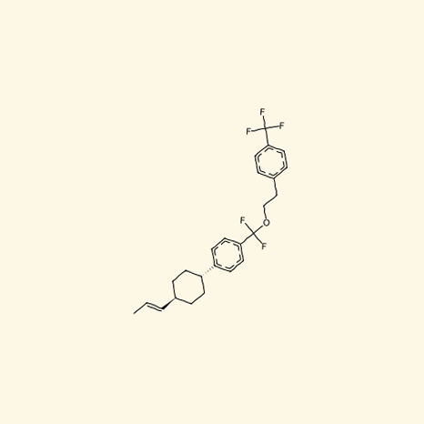 C/C=C/[C@H]1CC[C@H](c2ccc(C(F)(F)OCCc3ccc(C(F)(F)F)cc3)cc2)CC1